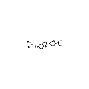 CCN(CC)c1ccc(-c2ccc3cc(OCC(O)CF)ccc3n2)cn1